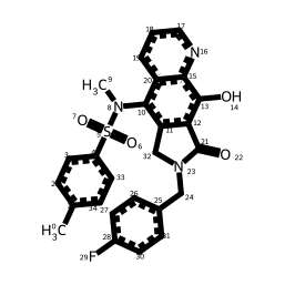 Cc1ccc(S(=O)(=O)N(C)c2c3c(c(O)c4ncccc24)C(=O)N(Cc2ccc(F)cc2)C3)cc1